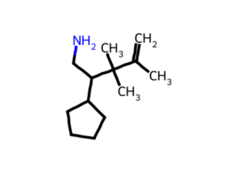 C=C(C)C(C)(C)C(CN)C1CCCC1